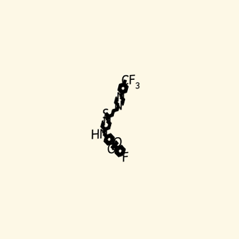 O=S(=O)(c1ccc(F)cc1)c1ccc(NC2CCN(C(=S)CCCN3CCN(c4ccc(C(F)(F)F)cc4)CC3)CC2)cc1